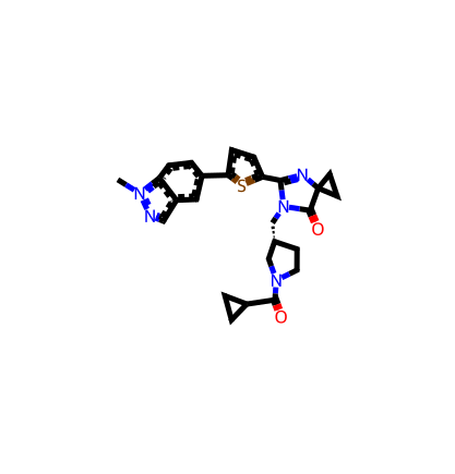 Cn1ncc2cc(-c3ccc(C4=NC5(CC5)C(=O)N4C[C@@H]4CCN(C(=O)C5CC5)C4)s3)ccc21